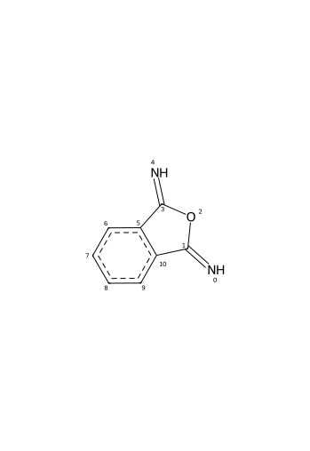 N=C1OC(=N)c2ccccc21